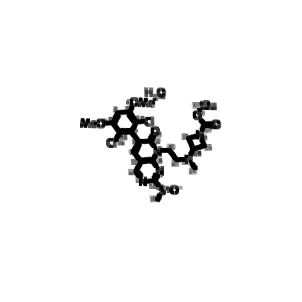 COc1cc(OC)c(Cl)c(-c2cc3cnc([S+](C)[O-])nc3n(CCN(C)C3CN(C(=O)OC(C)(C)C)C3)c2=O)c1Cl.O